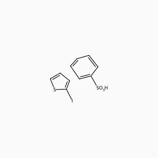 Ic1cccs1.O=S(=O)(O)c1ccccc1